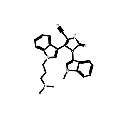 CN(C)CCCn1cc(-c2c(C#N)[nH]c(=O)n2-c2cn(C)c3ccccc23)c2ccccc21